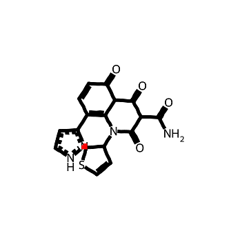 NC(=O)C1C(=O)C2C(=O)C=CC(c3cc[nH]n3)=C2N(C2C=CSC2)C1=O